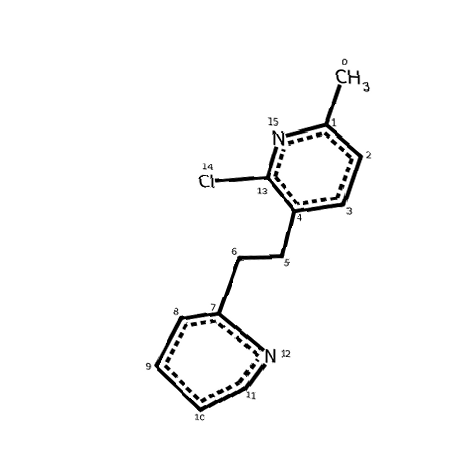 Cc1ccc(CCc2ccccn2)c(Cl)n1